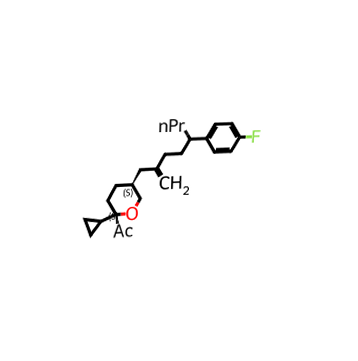 C=C(CCC(CCC)c1ccc(F)cc1)C[C@@H]1CC[C@@](C(C)=O)(C2CC2)OC1